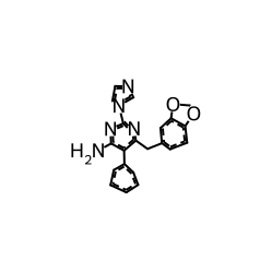 Nc1nc(-n2ccnc2)nc(Cc2ccc3c(c2)OCO3)c1-c1ccccc1